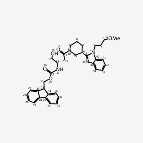 COCCCn1c([C@@H]2CCCN(C(=O)C[C@@H](CO)NC(=O)OCC3c4ccccc4-c4ccccc43)C2)nc2ccccc21